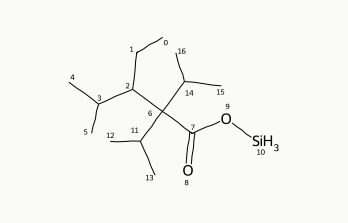 CCC(C(C)C)C(C(=O)O[SiH3])(C(C)C)C(C)C